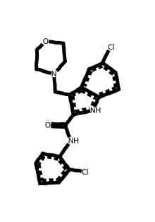 O=C(Nc1ccccc1Cl)c1[nH]c2ccc(Cl)cc2c1CN1CCOCC1